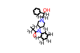 [2H]c1c([2H])c([2H])c(N(C(=O)C([2H])([2H])C)C2CCN(C([2H])([2H])C([2H])(O)c3ccccc3)CC2)c([2H])c1[2H]